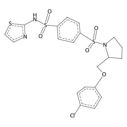 O=S(=O)(Nc1nccs1)c1ccc(S(=O)(=O)N2CCCC2COc2ccc(Cl)cc2)cc1